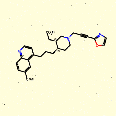 COc1ccc2nccc(CCC[C@@H]3CCN(CC#Cc4ncco4)C[C@@H]3CC(=O)O)c2c1